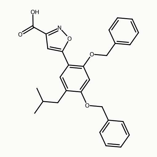 CC(C)Cc1cc(-c2cc(C(=O)O)no2)c(OCc2ccccc2)cc1OCc1ccccc1